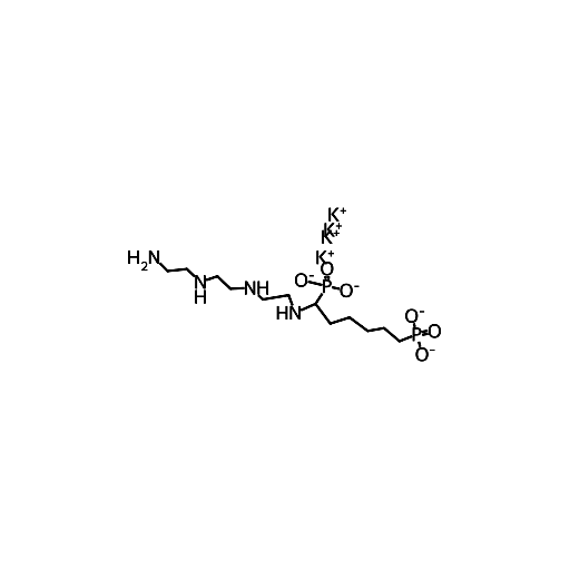 NCCNCCNCCNC(CCCCCP(=O)([O-])[O-])P(=O)([O-])[O-].[K+].[K+].[K+].[K+]